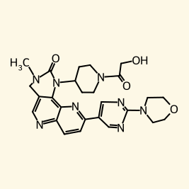 CN1Cc2cnc3ccc(-c4cnc(N5CCOCC5)nc4)nc3c2N(C2CCN(C(=O)CO)CC2)C1=O